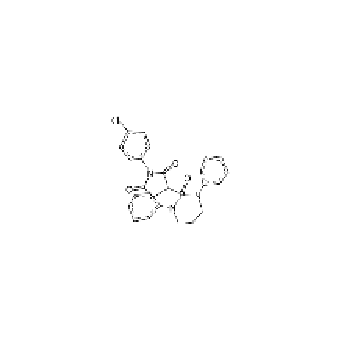 O=C1CC(P2(=O)N(c3ccccc3)CCCN2c2ccccc2)C(=O)N1c1ccc(Cl)cc1